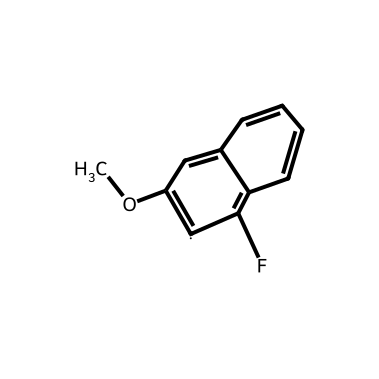 COc1[c]c(F)c2ccccc2c1